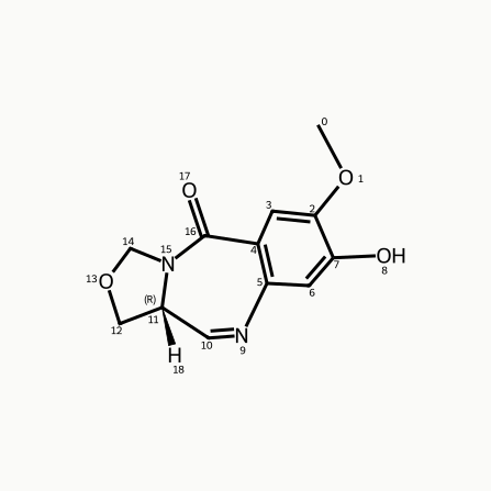 COc1cc2c(cc1O)N=C[C@@H]1COCN1C2=O